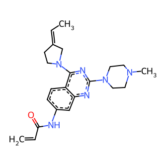 C=CC(=O)Nc1ccc2c(N3CC/C(=C/C)C3)nc(N3CCN(C)CC3)nc2c1